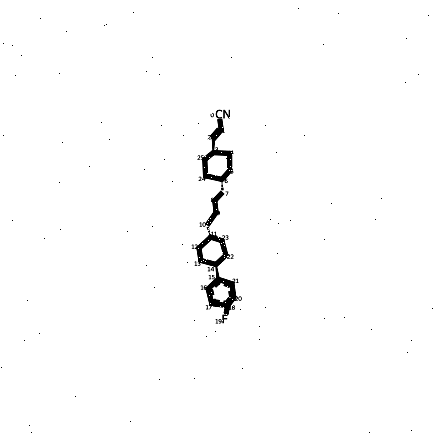 N#CC=C[C@H]1CC[C@H](CCCC[C@H]2CC[C@H](c3ccc(F)cc3)CC2)CC1